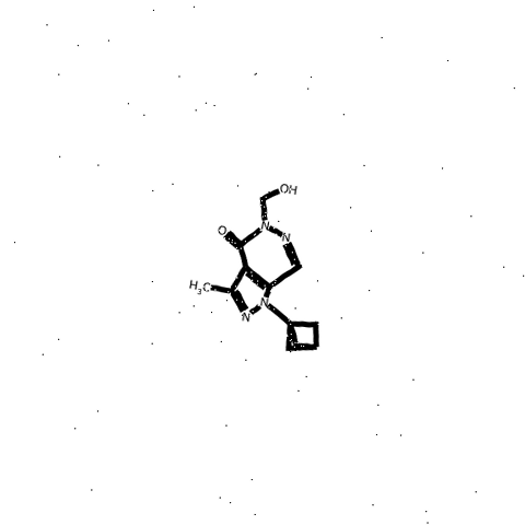 Cc1nn(C23CC(C2)C3)c2cnn(CO)c(=O)c12